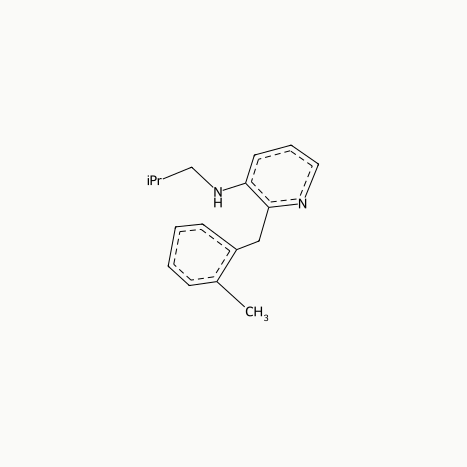 Cc1ccccc1Cc1ncccc1NCC(C)C